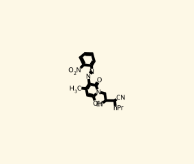 CCCC(C#N)C(CC)Cn1c(O)cc(C)c(N=Nc2ccccc2[N+](=O)[O-])c1=O